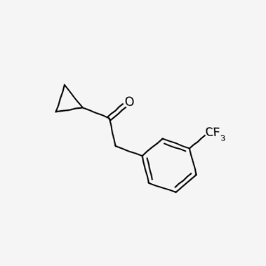 O=C(Cc1cccc(C(F)(F)F)c1)C1CC1